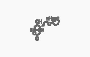 CCCCCCC[C@@H](/C=C/[C@@H]1[C@H]2CC(=O)O[C@H]2C[C@H]1O)OC1CCCCO1